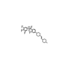 CC1CCC(/C=C/C2CCC(c3ccc(C(F)(F)Oc4cc(F)c(F)c(F)c4)c(F)c3)CC2)CC1